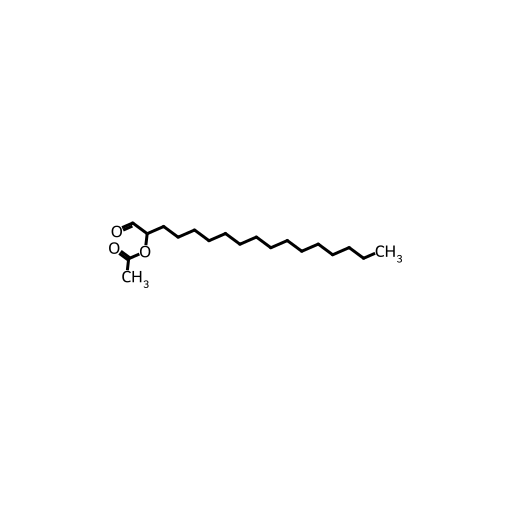 CCCCCCCCCCCCCCCC(C=O)OC(C)=O